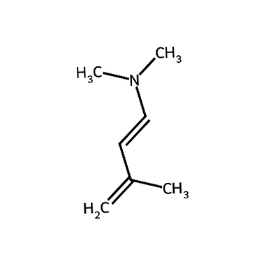 C=C(C)C=CN(C)C